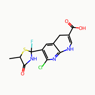 CC1SC(F)(c2cc3c(nc2Cl)NC=C(C(=O)O)C3)NC1=O